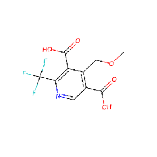 COCc1c(C(=O)O)cnc(C(F)(F)F)c1C(=O)O